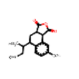 CC(=O)Oc1ccc2c(c1)C1C(=O)OC(=O)C1CC2C(CC=O)C(=O)O